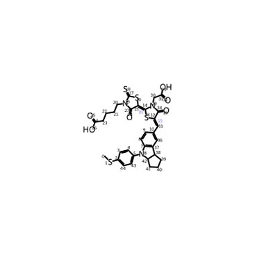 CSc1ccc(N2c3ccc(/C=c4\s/c(=C5/SC(=S)N(CCCCC(=O)O)C5=O)n(CC(=O)O)c4=O)cc3C3CCCC32)cc1